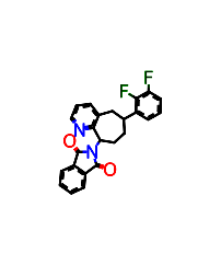 O=C1c2ccccc2C(=O)N1C1CCC(c2cccc(F)c2F)Cc2cccnc21